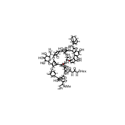 CCCCCCNC(=O)NC(=O)C[C@@H]1NC(=O)[C@H](NC(=O)[C@@H](CC(C)C)NC)[C@H](O)c2ccc(c(C)c2)Oc2cc3cc(c2O[C@@H]2O[C@H](CN)[C@@H](O)[C@H](O)[C@H]2O)Oc2ccc(cc2Cl)[C@@H](O)[C@@H]2NC(=O)[C@H](NC(=O)[C@@H]3NC1=O)c1ccc(O)c(c1)-c1c(O)cc(O)cc1[C@@H](C(=O)NC1C3CC4CC(C3)CC1C4)NC2=O